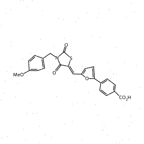 COc1ccc(CN2C(=O)S/C(=C\c3ccc(-c4ccc(C(=O)O)cc4)o3)C2=O)cc1